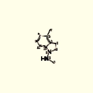 CNN1CCc2c(C)cccc21